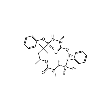 CC(C)OC(=O)[C@H](C)NP(=S)(Oc1ccccc1)C(C)(C)CC(C)OC(=O)[C@@H](C)NP(=S)(Sc1ccccc1)C(C)C